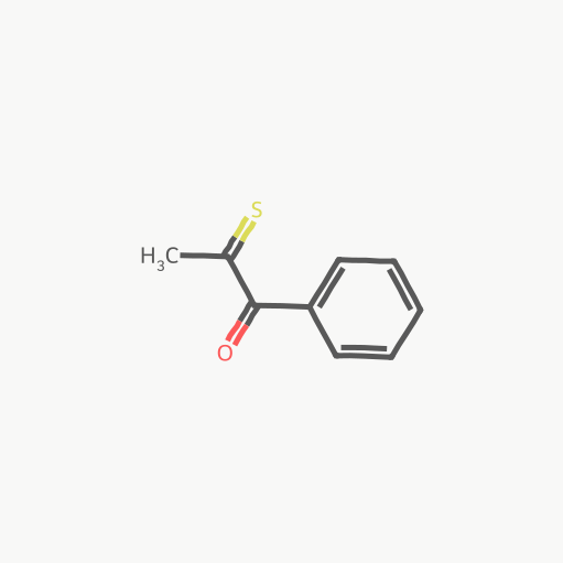 CC(=S)C(=O)c1ccccc1